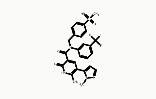 Cc1[nH]c(=O)c(C(=O)N(Cc2ccc(S(C)(=N)=O)cc2)c2cccc(C(F)(F)F)c2)cc1-c1ccnn1C